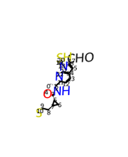 C[C@@H](NC(=O)[C@@H]1C[C@H]1CC=S)c1ccc2cc(C=O)n(CS)c2n1